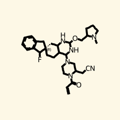 C=CC(=O)N1CCN(C2NC(OCC3CCCN3C)NC3C[C@@]4(CCC32)Cc2ccccc2C4F)CC1CC#N